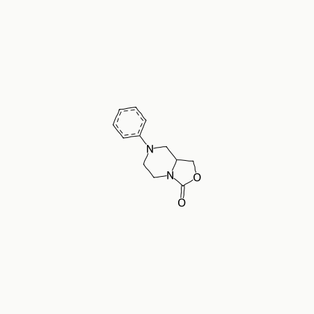 O=C1OCC2CN(c3ccccc3)CCN12